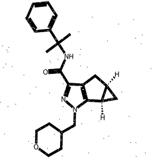 CC(C)(NC(=O)c1nn(CC2CCOCC2)c2c1C[C@H]1C[C@@H]21)c1ccccc1